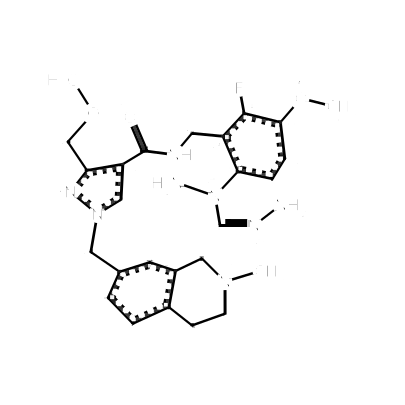 COCc1nn(Cc2ccc3c(c2)CN(C)CC3)cc1C(=O)NCc1c(N(N)/C=N\N)ccc(OC)c1F